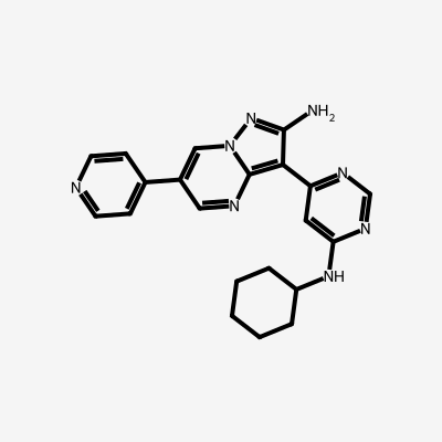 Nc1nn2cc(-c3ccncc3)cnc2c1-c1cc(NC2CCCCC2)ncn1